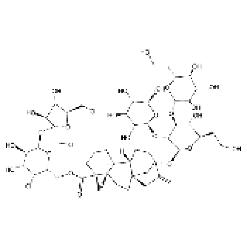 C=C1C[C@@]23CC[C@H]4[C@@](C)(CCC[C@@]4(C)C(=O)OC[C@H]4O[C@H](O[C@]5(CCl)O[C@H](CCl)[C@@H](O)[C@@H]5O)[C@H](O)[C@@H](O)[C@H]4Cl)[C@@H]2CC[C@]1(O[C@@H]1O[C@H](CCO)[C@@H](O)[C@H](O[C@@H]2O[C@H](CCO)[C@@H](O)[C@H](O)[C@H]2O)[C@H]1O[C@@H]1O[C@H](CO)[C@@H](O)[C@H](O)[C@H]1O)C3